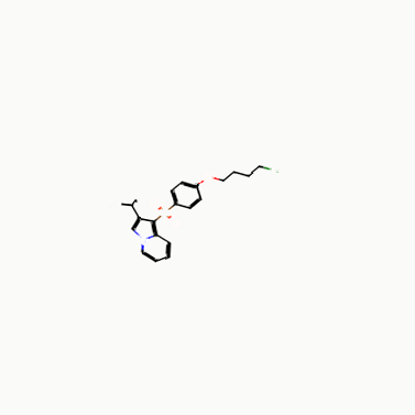 CC(C)c1cn2ccccc2c1S(=O)(=O)c1ccc(OCCCCBr)cc1